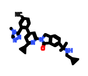 Cn1cnnc1-c1cc(C#N)ccc1-c1cc(C2CC2)nc(N2Cc3ccc(C(C)(C)NCC4CC4)cc3C2=O)c1